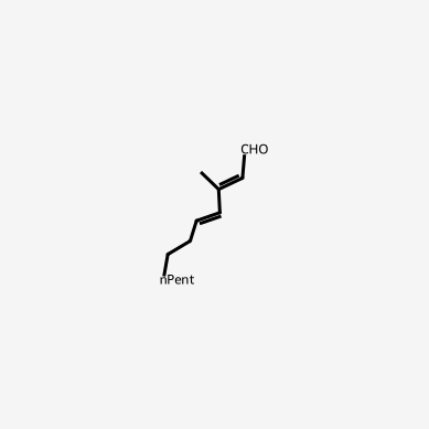 CCCCCCC/C=C/C(C)=C/C=O